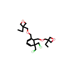 CCC1(COCC2=CC=CC(CCl)(CCl)C2COCC2(CC)COC2)COC1